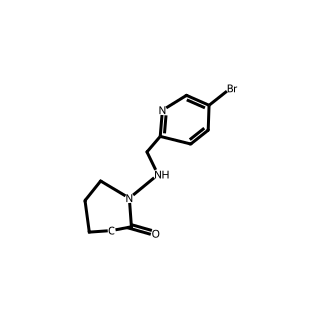 O=C1CCCCN1NCc1ccc(Br)cn1